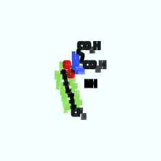 O=C(O)CCC(NNS(=O)(=O)C(F)(F)C(F)(F)C(F)(F)C(F)(F)C(F)(F)C(F)(F)C(F)(F)C(F)(F)F)C(=O)O.[KH]